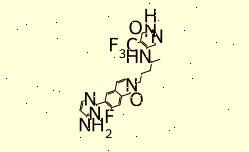 CC(CCCn1ccc2cc(-c3nccc(N)n3)c(F)cc2c1=O)Nc1cn[nH]c(=O)c1C(F)(F)F